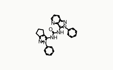 O=C(Nc1c2c(nn1-c1ccccc1)CCC2)Nc1c2ncccc2nn1-c1ccccc1